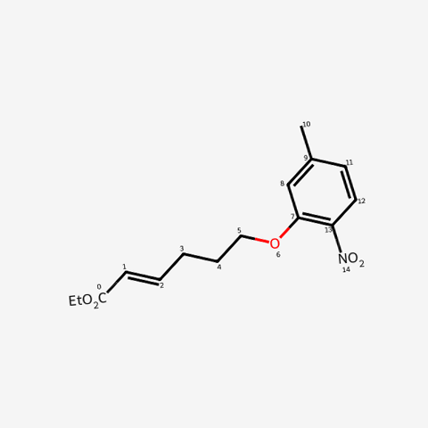 CCOC(=O)C=CCCCOc1cc(C)ccc1[N+](=O)[O-]